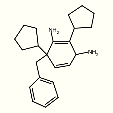 NC1=C(C2CCCC2)C(N)C=CC1(Cc1ccccc1)C1CCCC1